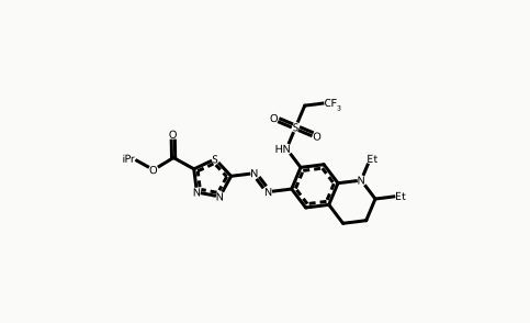 CCC1CCc2cc(N=Nc3nnc(C(=O)OC(C)C)s3)c(NS(=O)(=O)CC(F)(F)F)cc2N1CC